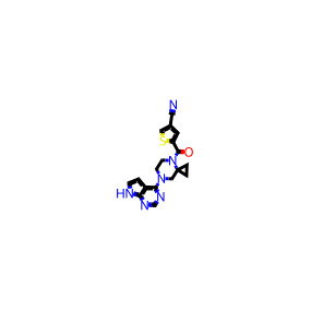 N#Cc1csc(C(=O)N2CCN(c3ncnc4[nH]ccc34)CC23CC3)c1